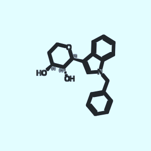 O[C@@H]1[C@@H](O)CCO[C@H]1c1cn(Cc2ccccc2)c2ccccc12